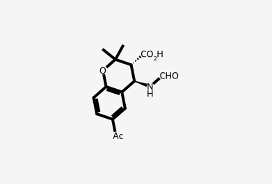 CC(=O)c1ccc2c(c1)[C@H](NC=O)[C@@H](C(=O)O)C(C)(C)O2